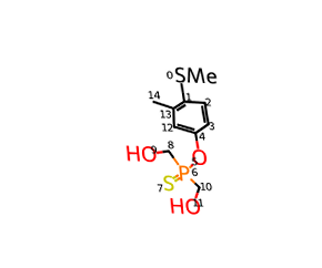 CSc1ccc(OP(=S)(CO)CO)cc1C